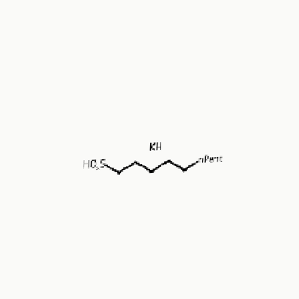 CCCCCCCCCCS(=O)(=O)O.[KH]